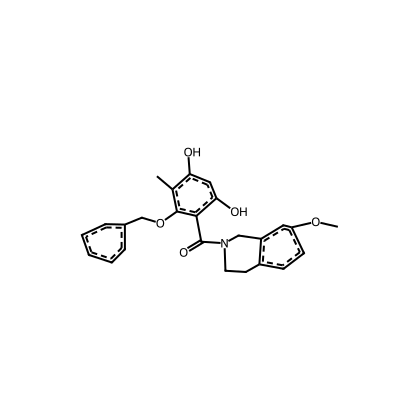 COc1ccc2c(c1)CN(C(=O)c1c(O)cc(O)c(C)c1OCc1ccccc1)CC2